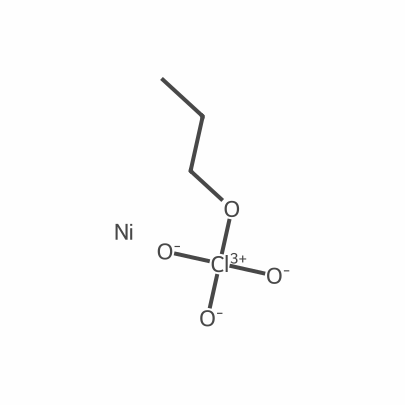 CCCO[Cl+3]([O-])([O-])[O-].[Ni]